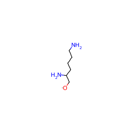 NCCCCC(N)C[O]